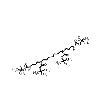 CC(C)(C)OC(=O)NCCCN(CCCCCCCN(CCCNC(=O)OC(C)(C)C)C(=O)OC(C)(C)C)C(=O)OC(C)(C)C